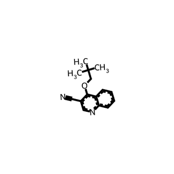 CC(C)(C)COc1c(C#N)cnc2ccccc12